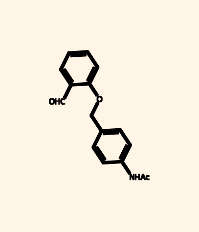 CC(=O)Nc1ccc(COc2ccccc2C=O)cc1